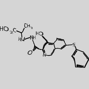 CC(NNC(=O)c1ncc2cc(Sc3ccccc3)ccc2c1O)C(=O)O